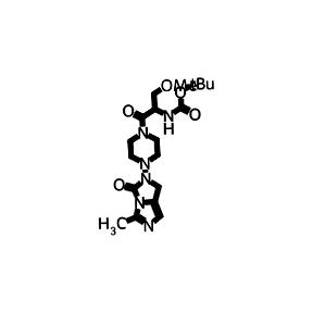 COCC(NC(=O)OC(C)(C)C)C(=O)N1CCN(N2Cc3cnc(C)n3C2=O)CC1